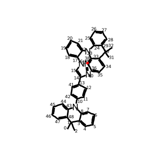 CC1(C)c2ccccc2N(c2ccc(-c3cn(-c4ccccc4N4c5ccccc5C(C)(C)c5ccccc54)nn3)cc2)c2ccccc21